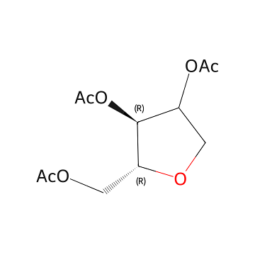 CC(=O)OC[C@H]1OCC(OC(C)=O)[C@@H]1OC(C)=O